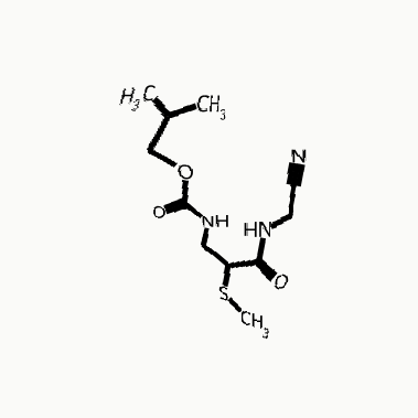 CSC(CNC(=O)OCC(C)C)C(=O)NCC#N